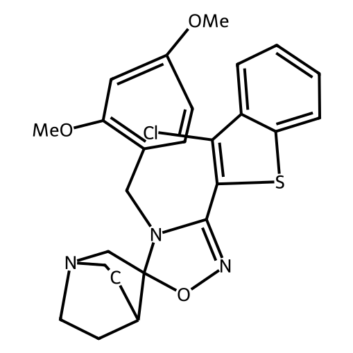 COc1ccc(CN2C(c3sc4ccccc4c3Cl)=NOC23CN2CCC3CC2)c(OC)c1